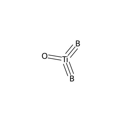 [B]#[Ti](#[B])=[O]